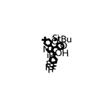 CC(C)c1nc2c(c(C3=CCOCC3)c1C(O)c1ccc(S(F)(F)(F)(F)F)cc1)C(O[Si](C)(C)C(C)(C)C)CC(C)(C)C2